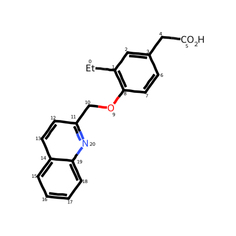 CCc1cc(CC(=O)O)ccc1OCc1ccc2ccccc2n1